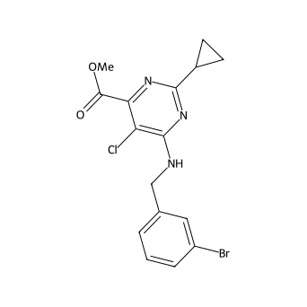 COC(=O)c1nc(C2CC2)nc(NCc2cccc(Br)c2)c1Cl